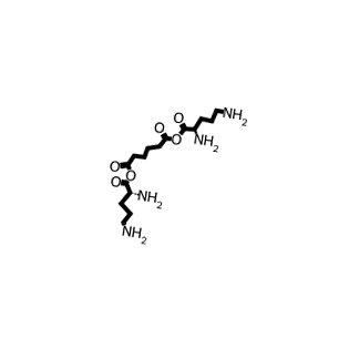 NCCC[C@@H](N)C(=O)OC(=O)CCCCC(=O)OC(=O)[C@H](N)CCCN